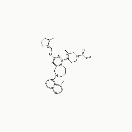 C=CC(=O)N1CCN(c2nc(OC[C@H]3CCCN3C)nc3c2CCCN(c2cccc4cccc(C)c24)C3)[C@@H](C)C1